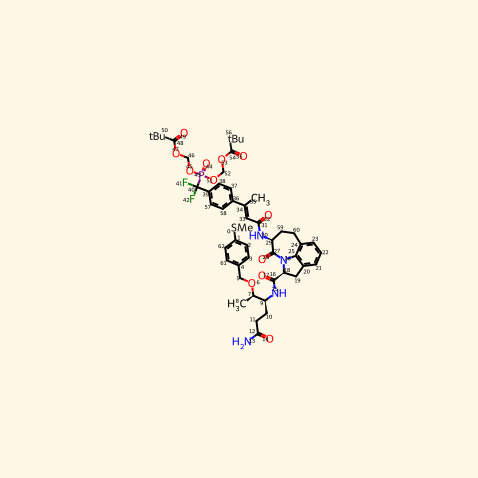 CSc1ccc(CO[C@H](C)[C@H](CCC(N)=O)NC(=O)[C@@H]2Cc3cccc4c3N2C(=O)[C@@H](NC(=O)/C=C(\C)c2ccc(C(F)(F)P(=O)(OCOC(=O)C(C)(C)C)OCOC(=O)C(C)(C)C)cc2)CC4)cc1